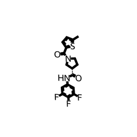 Cc1ccc(C(=O)N2CC[C@H](C(=O)Nc3cc(F)c(F)c(F)c3)C2)s1